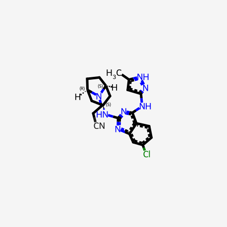 Cc1cc(Nc2nc(N[C@@H]3C[C@H]4CC[C@@H](C3)N4CCC#N)nc3cc(Cl)ccc23)n[nH]1